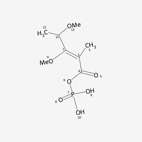 COC(=C(C)C(=O)OP(=O)(O)O)C(C)OC